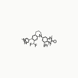 CC(C)c1cc(N2CCCc3cc(-c4cnn(C)c4)c(C(F)F)cc32)cc2c1n(C)c(=O)n2C